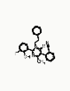 Cc1nc(-c2cccc(F)c2O)n(CCc2ccccc2)c(=O)c1-c1ccccc1C#N